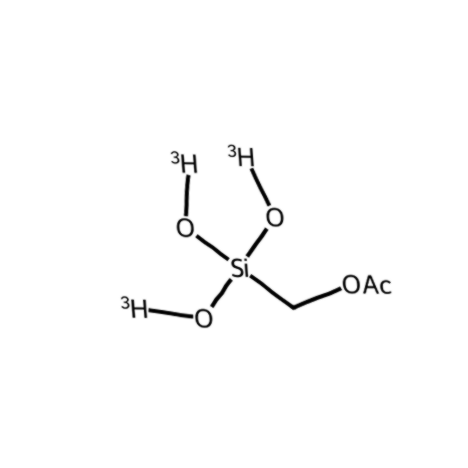 [3H]O[Si](COC(C)=O)(O[3H])O[3H]